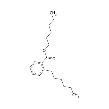 CCCCC[CH]c1ccccc1C(=O)OCCCCCC